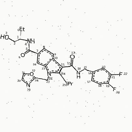 CC[C@@H](CO)NC(=O)c1ccc2c(C(=O)NCc3ccc(F)c(F)c3)c(C(C)C)n(Cc3ncco3)c2c1